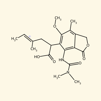 C/C=C(\C)CC(C(=O)O)c1c(NC(=O)N(C)C)c2c(c(C)c1OC)COC2=O